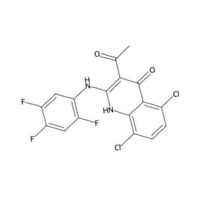 CC(=O)c1c(Nc2cc(F)c(F)cc2F)[nH]c2c(Cl)ccc(Cl)c2c1=O